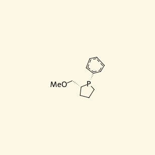 COC[C@H]1CCC[P@@]1c1ccccc1